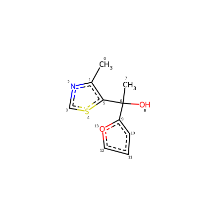 Cc1ncsc1C(C)(O)c1ccco1